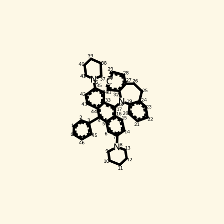 c1ccc(-c2c3cc(N4CCCCC4)ccc3c(N3c4ccccc4CCc4ccccc43)c3cc(N4CCCCC4)ccc23)cc1